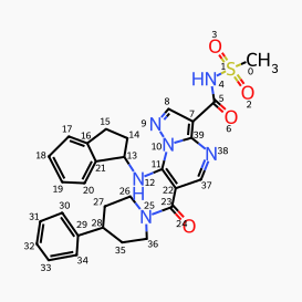 CS(=O)(=O)NC(=O)c1cnn2c(NC3CCc4ccccc43)c(C(=O)N3CCC(c4ccccc4)CC3)cnc12